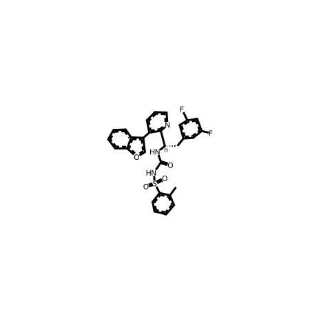 Cc1ccccc1S(=O)(=O)NC(=O)N[C@@H](Cc1cc(F)cc(F)c1)c1ncccc1-c1coc2ccccc12